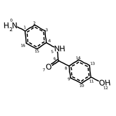 Nc1ccc(NC(=O)c2ccc(O)cc2)cc1